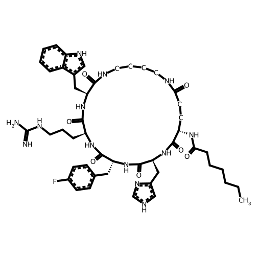 CCCCCCC(=O)N[C@H]1CCC(=O)NCCCCNC(=O)[C@H](Cc2c[nH]c3ccccc23)NC(=O)[C@H](CCCNC(=N)N)NC(=O)[C@@H](Cc2ccc(F)cc2)NC(=O)[C@H](Cc2c[nH]cn2)NC1=O